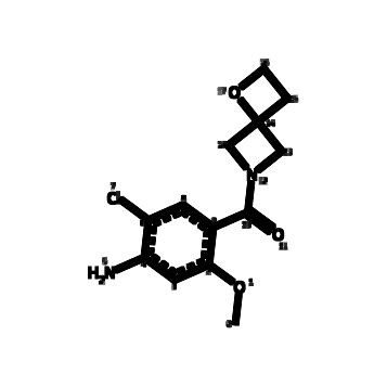 COc1cc(N)c(Cl)cc1C(=O)N1CC2(CCO2)C1